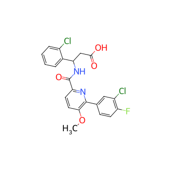 COc1ccc(C(=O)NC(CC(=O)O)c2ccccc2Cl)nc1-c1ccc(F)c(Cl)c1